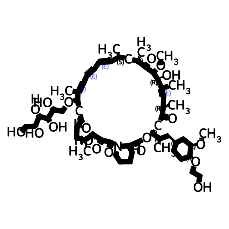 COC1C(=O)[C@H](C)C[C@H](C)/C=C/C=C/C=C(\C)C(OCC(O)C(O)C(O)C(O)CO)C[C@@H]2CC[C@@H](C)[C@@](O)(O2)C(=O)C(=O)N2CCCC[C@H]2C(=O)O[C@H]([C@H](C)C[C@@H]2CC[C@@H](OCCO)[C@H](OC)C2)CC(=O)[C@H](C)/C=C(\C)[C@H]1O